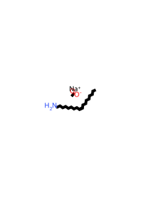 CC(=O)[O-].CCCCCCCC/C=C\CCCCCCCCN.[Na+]